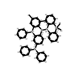 Cc1cc2c3c(c1)N(c1ccccc1)c1cc(N(c4ccccc4)c4ccccc4)ccc1B3N1c3ccccc3[Si](C)(C)c3cccc-2c31